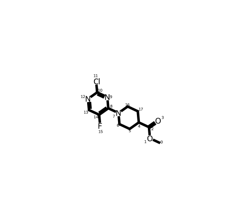 COC(=O)C1CCN(c2nc(Cl)ncc2F)CC1